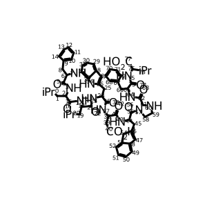 CC(C)CC(NC(=O)C(N)Cc1ccccc1)C(=O)NC(CC(C)C)C(=O)NC(Cc1cc2ccccc2[nH]1)C(=O)NC(CC(=O)O)C(=O)NC(CC1=Cc2ccccc2C1)C(=O)N1CCNC1C(=O)NC(Cc1ccccc1)C(=O)NC(C(=O)O)C(C)C